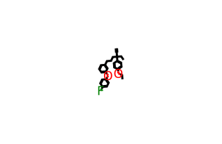 C#CC(CC)(CCCc1cccc(Oc2ccc(F)cc2)c1)c1ccc(OCC)cc1